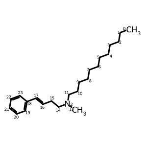 CCCCCCCCCCCCN(C)CCC=Cc1ccccc1